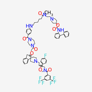 CN(CCN1CCC(OC(=O)Nc2ccccc2-c2ccccc2)CC1)C(=O)CCCCCNc1ccc(C(=O)N2CCCN(C(=O)CO[C@H]3Cc4ccccc4C34CCN(CC[C@@]3(c5ccc(F)cc5)CN(C(=O)c5cc(C(F)(F)F)cc(C(F)(F)F)c5)CO3)CC4)CC2)cc1